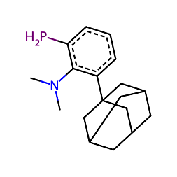 CN(C)c1c(P)cccc1C12CC3CC(CC(C3)C1)C2